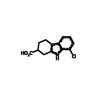 O=C(O)C1CCc2c([nH]c3c(Cl)cccc23)C1